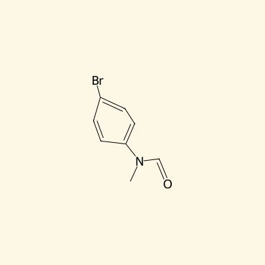 CN(C=O)c1ccc(Br)cc1